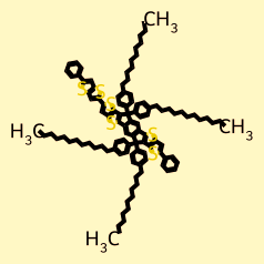 CCCCCCCCCCCCc1ccc(C2(c3ccc(CCCCCCCCCCCC)cc3)c3cc4c(cc3-c3sc5cc(-c6ccccc6)sc5c32)C(c2ccc(CCCCCCCCCCCC)cc2)(c2ccc(CCCCCCCCCCCC)cc2)c2c-4sc3cc(-c4cc5sc(-c6ccccc6)cc5s4)sc23)cc1